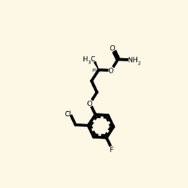 C[C@H](CCOc1ccc(F)cc1CCl)OC(N)=O